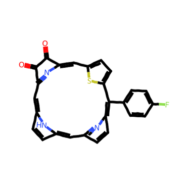 O=C1C(=O)c2cc3ccc(s3)c(-c3ccc(F)cc3)c3nc(cc4ccc(cc1n2)[nH]4)C=C3